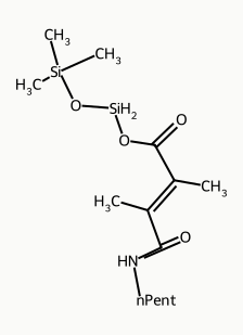 CCCCCNC(=O)/C(C)=C(\C)C(=O)O[SiH2]O[Si](C)(C)C